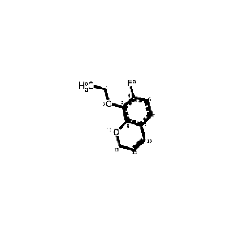 CCOc1c(F)ccc2c1OCC=C2